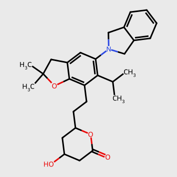 CC(C)c1c(N2Cc3ccccc3C2)cc2c(c1CCC1CC(O)CC(=O)O1)OC(C)(C)C2